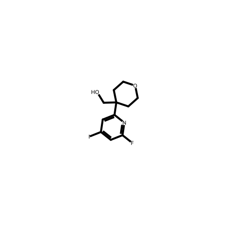 OCC1(c2cc(I)cc(F)n2)CCOCC1